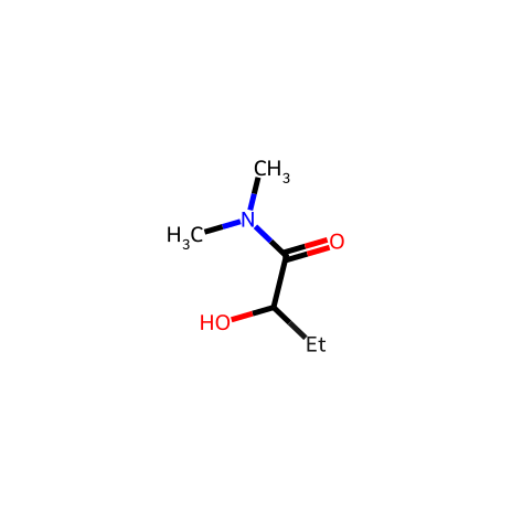 CCC(O)C(=O)N(C)C